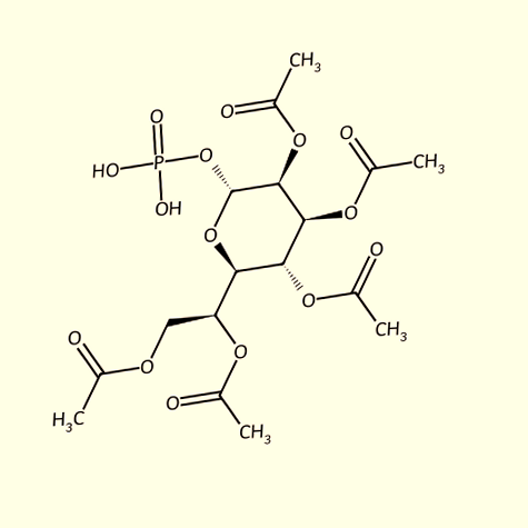 CC(=O)OC[C@H](OC(C)=O)[C@H]1O[C@H](OP(=O)(O)O)[C@@H](OC(C)=O)[C@@H](OC(C)=O)[C@@H]1OC(C)=O